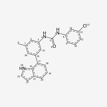 Cc1cc(NC(=O)Nc2cccc(Cl)c2)cc(-c2cccc3cc[nH]c23)c1